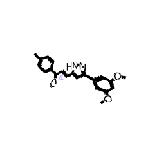 COc1cc(OC)cc(-c2cc(/C=C/C(=O)c3ccc(C)cc3)[nH]n2)c1